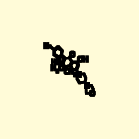 CC1(C)c2cc(N3CCC(N4CCOCC4)CC3)ccc2C(=O)c2c1[nH]c1cc(C#N)ccc21.Cl